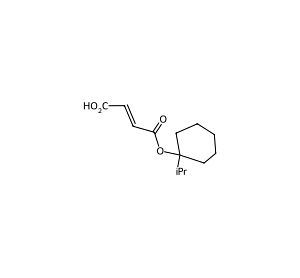 CC(C)C1(OC(=O)C=CC(=O)O)CCCCC1